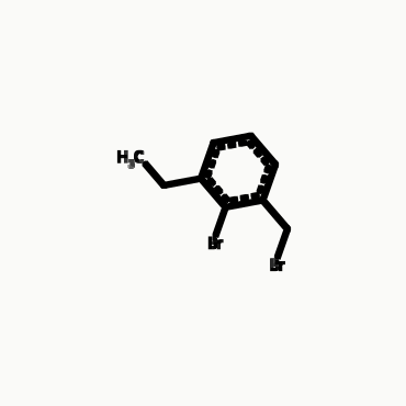 CCc1cccc(CBr)c1Br